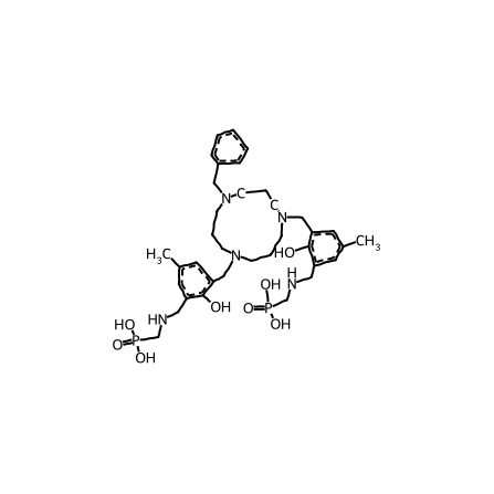 Cc1cc(CNCP(=O)(O)O)c(O)c(CN2CCCN(Cc3ccccc3)CCCN(Cc3cc(C)cc(CNCP(=O)(O)O)c3O)CCC2)c1